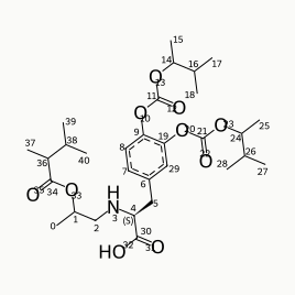 CC(CN[C@@H](Cc1ccc(OC(=O)OC(C)C(C)C)c(OC(=O)OC(C)C(C)C)c1)C(=O)O)OC(=O)C(C)C(C)C